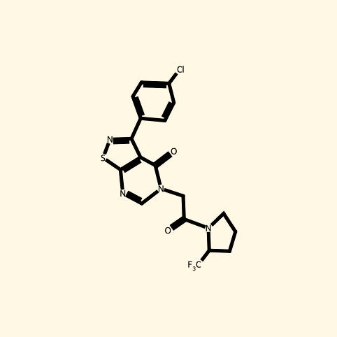 O=C(Cn1cnc2snc(-c3ccc(Cl)cc3)c2c1=O)N1CCCC1C(F)(F)F